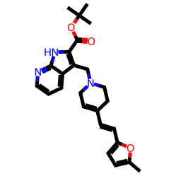 Cc1ccc(C=CC2=CCN(Cc3c(C(=O)OC(C)(C)C)[nH]c4ncccc34)CC2)o1